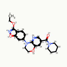 CCOc1noc2cc(N3CCOc4cc(C(=O)N5CCCCC5)cnc43)ccc12